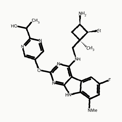 CC[C@@H]1[C@H](N)C[C@]1(C)CNc1nc(Oc2cnc(C(C)O)nc2)nc2[nH]c3c(NC)cc(F)cc3c12